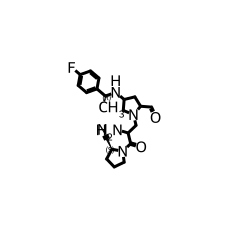 C[C@@H](NC1CC(C=O)N(CC(N)C(=O)N2CCC[C@H]2C#N)C1)c1ccc(F)cc1